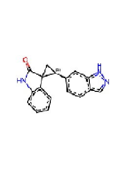 O=C1Nc2ccccc2C12C[C@H]2c1ccc2cn[nH]c2c1